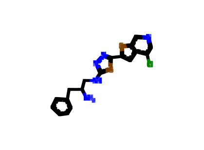 NC(CNc1nnc(-c2cc3c(Cl)cncc3s2)s1)Cc1ccccc1